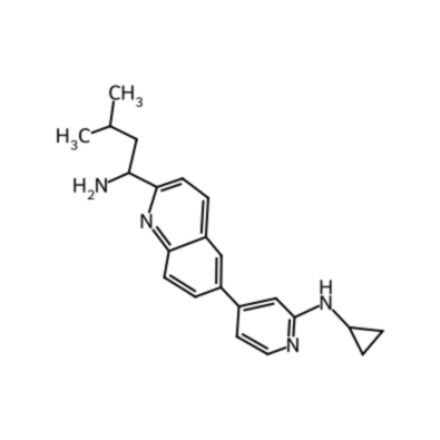 CC(C)CC(N)c1ccc2cc(-c3ccnc(NC4CC4)c3)ccc2n1